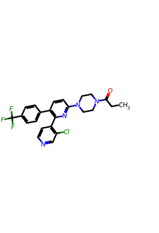 CCC(=O)N1CCN(c2ccc(-c3ccc(C(F)(F)F)cc3)c(-c3ccncc3Cl)n2)CC1